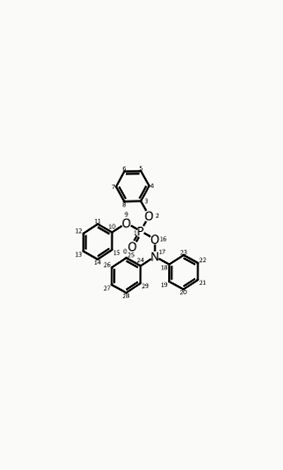 O=P(Oc1ccccc1)(Oc1ccccc1)ON(c1ccccc1)c1ccccc1